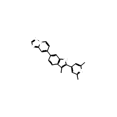 Cc1cc(-c2[nH]c3cc(-c4ccn5ncnc5c4)ccc3c2C)cc(C)n1